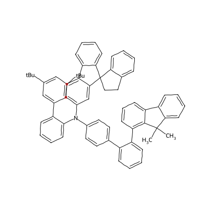 CC(C)(C)c1cc(-c2ccccc2N(c2ccc(-c3ccccc3-c3cccc4c3C(C)(C)c3ccccc3-4)cc2)c2ccc3c(c2)C2(CCc4ccccc42)c2ccccc2-3)cc(C(C)(C)C)c1